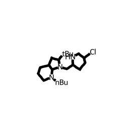 CCCCN1CCCC2CC(C(C)(C)C)N(CC3CCC(Cl)CN3)C21